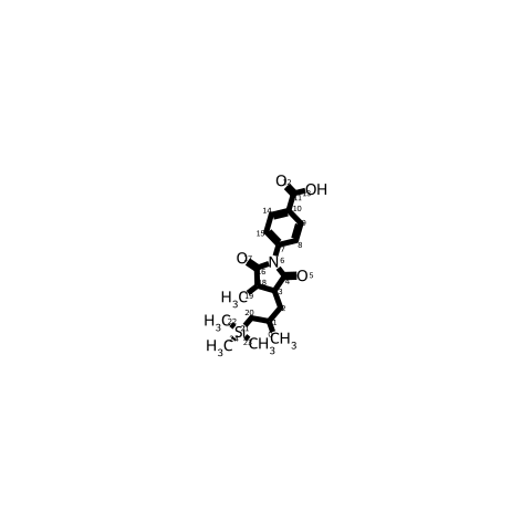 CC(CC1C(=O)N(c2ccc(C(=O)O)cc2)C(=O)C1C)C[Si](C)(C)C